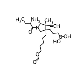 C#C[C@]1(C)CN(C(=O)[C@@H](N)CC)C[C@]1(CCCCCOC=O)CCCB(O)O